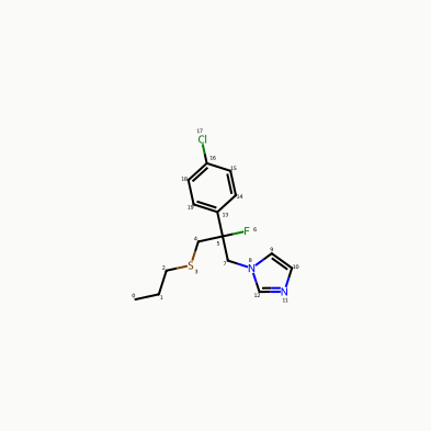 CCCSCC(F)(Cn1ccnc1)c1ccc(Cl)cc1